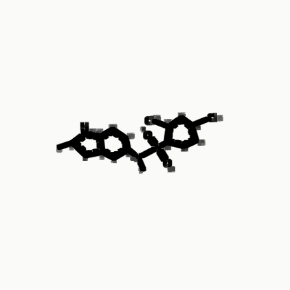 Cc1cc2cc(N(C)S(=O)(=O)c3ccc(Cl)cc3Cl)ccc2[nH]1